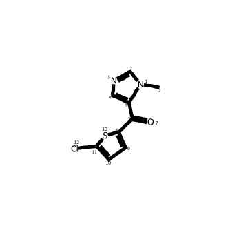 Cn1cncc1C(=O)c1ccc(Cl)s1